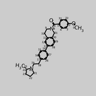 COc1ccc(C(=O)N2CCc3cc(-c4ccc(CCN5CCC[C@H]5C)cc4)ccc3C2)cc1